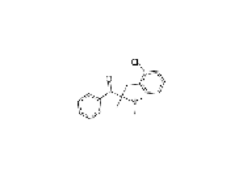 CN(C)C(C)(Cc1ccccc1Cl)C(=O)c1ccccc1